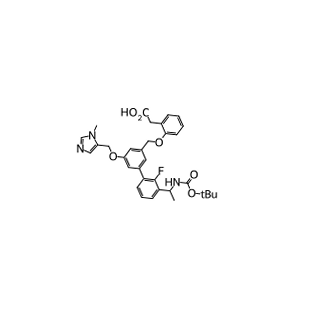 CC(NC(=O)OC(C)(C)C)c1cccc(-c2cc(COc3ccccc3CC(=O)O)cc(OCc3cncn3C)c2)c1F